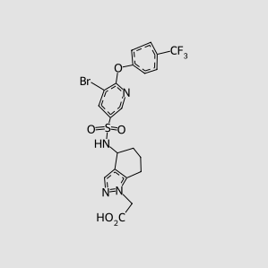 O=C(O)Cn1ncc2c1CCCC2NS(=O)(=O)c1cnc(Oc2ccc(C(F)(F)F)cc2)c(Br)c1